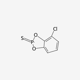 S=[P]1Oc2cccc(Cl)c2O1